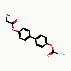 CCCCCCCCCC(=O)Oc1ccc(-c2ccc(OC(=O)CC(C)CC)cc2)cc1